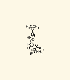 CC(C)n1nc(-c2ccc(CC(=O)Nc3cc(C4CC(C)(C)C4)no3)c(F)c2Cl)c(C(N)=O)c1N